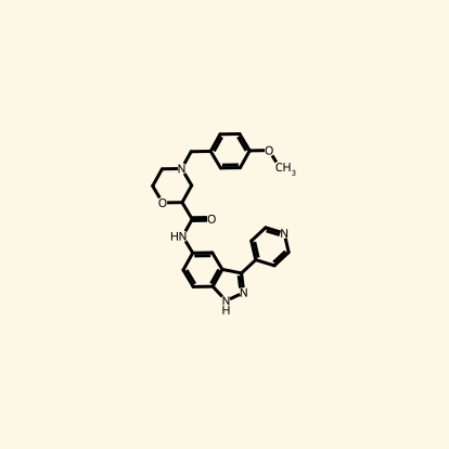 COc1ccc(CN2CCOC(C(=O)Nc3ccc4[nH]nc(-c5ccncc5)c4c3)C2)cc1